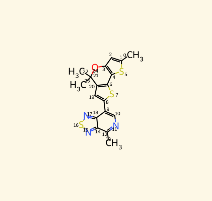 Cc1cc2c(s1)-c1sc(-c3cnc(C)c4nsnc34)cc1C(C)(C)O2